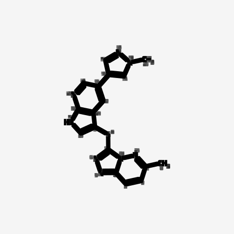 Cc1ccc2nnc(Sc3c[nH]c4ncc(-c5cnn(C)c5)cc34)n2n1